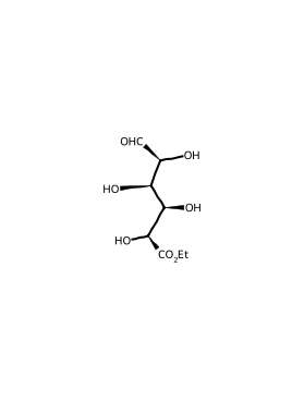 CCOC(=O)[C@@H](O)[C@H](O)[C@@H](O)[C@H](O)C=O